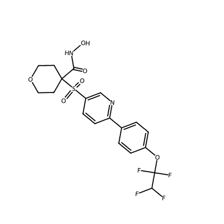 O=C(NO)C1(S(=O)(=O)c2ccc(-c3ccc(OC(F)(F)C(F)F)cc3)nc2)CCOCC1